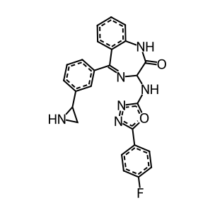 O=C1Nc2ccccc2C(c2cccc(C3CN3)c2)=NC1Nc1nnc(-c2ccc(F)cc2)o1